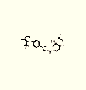 CC1=C(C(F)(F)F)N(c2ccc(C3CN(C(=O)N4CC[C@@H]5OCC(=O)N[C@@H]5C4)C3)cc2)CC1